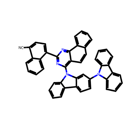 N#Cc1ccc(-c2nc(-n3c4ccccc4c4ccc(-n5c6ccccc6c6ccccc65)cc43)c3ccc4ccccc4c3n2)c2ccccc12